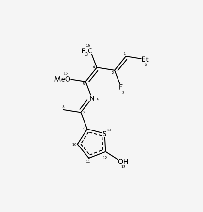 CC/C=C(F)/C(=C(\N=C(/C)c1ccc(O)s1)OC)C(F)(F)F